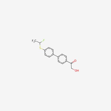 O=C(CO)c1ccc(-c2ccc(SC(F)C(F)(F)F)cc2)cc1